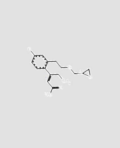 CC/C(=C\C(=O)O)c1ccc(F)cc1CCOC[C@H]1CO1